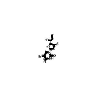 C=CC(F)[C@H]1O[C@@H](n2cc(Br)c(=O)[nH]c2=O)C[C@@H]1F